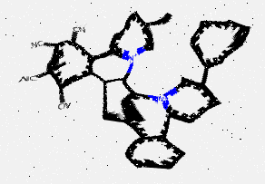 Cc1ccc2[n+](c1)C1c3c(c4ccccc4c4ccc(-c5ccccc5)c[n+]34)CC1c1c(C#N)c(C#N)c(C#N)c(C#N)c1-2